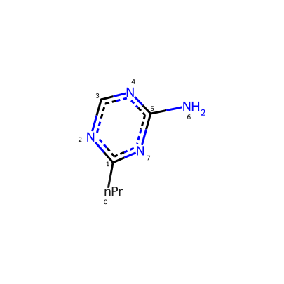 CCCc1ncnc(N)n1